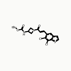 CC(C)(C)OC(=O)NC1CN(C(=O)/C=C/c2cc3ccsc3c(Cl)c2Cl)C1